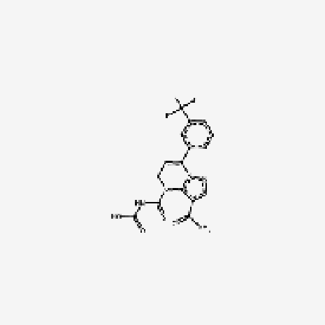 NC(=O)c1cnn2c1N(C(=S)NC(=O)O)CC=C2c1cccc(C(F)(F)F)c1